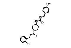 COc1ccc(CNC(=O)NC2CCN(C(=O)CCc3ccccc3Cl)CC2)cc1